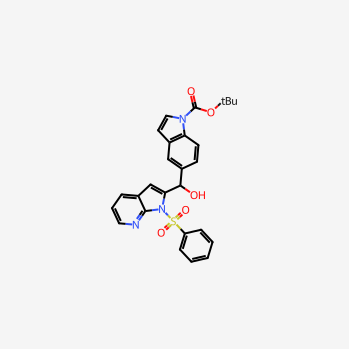 CC(C)(C)OC(=O)n1ccc2cc(C(O)c3cc4cccnc4n3S(=O)(=O)c3ccccc3)ccc21